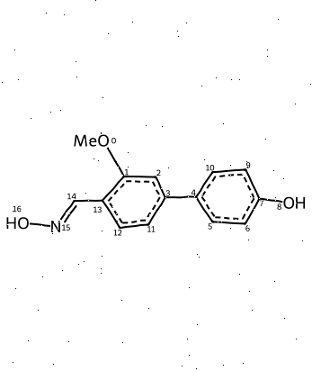 COc1cc(-c2ccc(O)cc2)ccc1C=NO